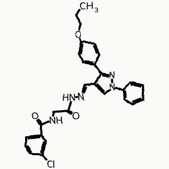 CCCOc1ccc(-c2nn(-c3ccccc3)cc2/C=N/NC(=O)CNC(=O)c2cccc(Cl)c2)cc1